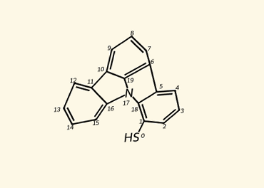 Sc1cccc2c3cccc4c5ccccc5n(c12)c43